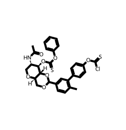 CC(=O)N[C@H]1CO[C@@H]2COC(c3ccc(C)c(-c4ccc(OC(=S)Cl)cc4)c3)O[C@H]2[C@@H]1OC(=S)Oc1ccccc1